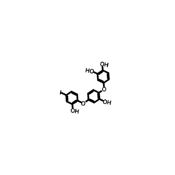 Oc1ccc(Oc2ccc(Oc3ccc(I)cc3O)cc2O)cc1O